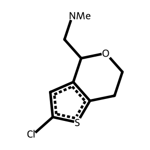 CNCC1OCCc2sc(Cl)cc21